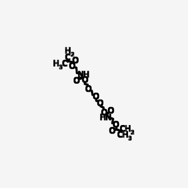 C=C(C)C(=O)OCCNC(=O)OCCOCCOCOCCOC(=O)NCCOC(=O)C(=C)C